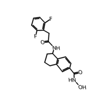 O=C(Cc1c(F)cccc1F)NC1CCCc2cc(C(=O)NO)ccc21